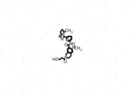 COc1cc2c(cc1C(=O)Nc1cccc(-c3nnc4n3[C@H](C)CC4)n1)CN(C(=O)CCO)CC2